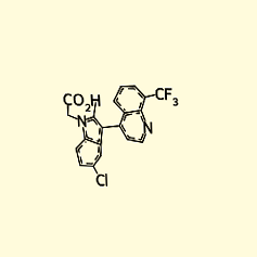 Cc1c(-c2ccnc3c(C(F)(F)F)cccc23)c2cc(Cl)ccc2n1CC(=O)O